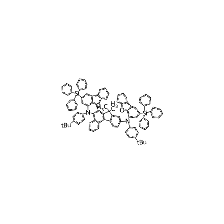 CC(C)(C)c1ccc(N(c2ccc3c(c2)C(C)(C)c2cc(N(c4ccc(C(C)(C)C)cc4)c4cc([Si](c5ccccc5)(c5ccccc5)c5ccccc5)cc5c4oc4ccccc45)c4ccccc4c2-3)c2cc([Si](c3ccccc3)(c3ccccc3)c3ccccc3)cc3c2oc2ccccc23)cc1